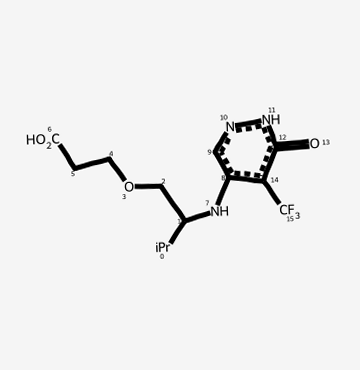 CC(C)C(COCCC(=O)O)Nc1cn[nH]c(=O)c1C(F)(F)F